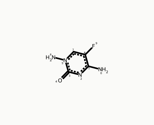 Nc1nc(=O)n(N)cc1F